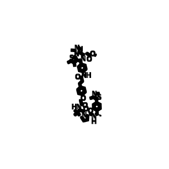 COC(=O)C[C@@H]1N=C(c2ccc(NC(=O)CCc3ccc(OCC(=O)NC(C(=O)N4CCC[C@H]4C(=O)N[C@@H](C)c4ccc(-c5scnc5C)cc4)C(C)(C)C)cc3)cc2)c2c(sc(C)c2C)-n2c(C)nnc21